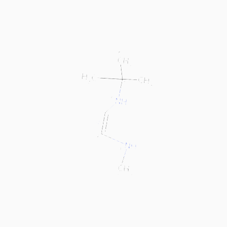 CN/C=C\NC(C)(C)C